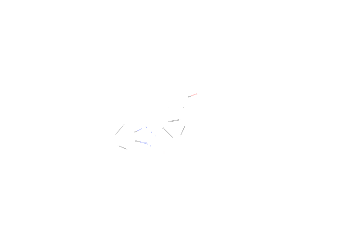 CCCCC(C)(C(=O)O)c1ccc(O)c(-n2nc3ccccc3n2)c1